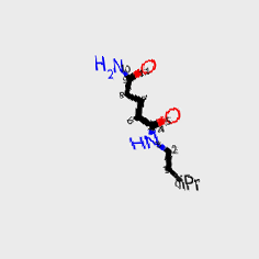 CC(C)CCNC(=O)CCCC(N)=O